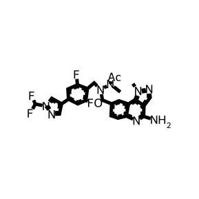 CC(=O)N(C)N(Cc1c(F)cc(-c2cnn(C(F)F)c2)cc1F)C(=O)c1ccc2nc(N)c3cnn(C)c3c2c1